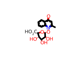 Cc1cc(=O)c2ccccc2n1O[C@H]1OC(C(=O)O)[C@@H](O)[C@H](O)C1O